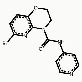 O=C(Nc1ccncc1)N1CCOc2ccc(Br)nc21